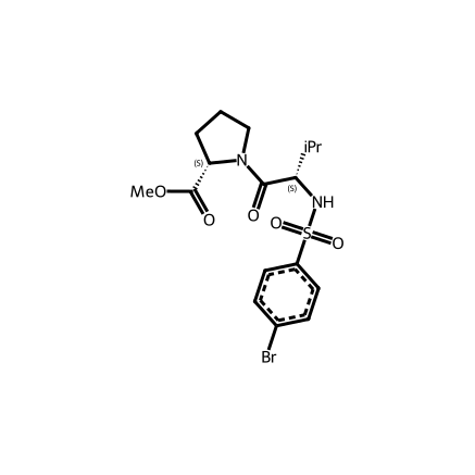 COC(=O)[C@@H]1CCCN1C(=O)[C@@H](NS(=O)(=O)c1ccc(Br)cc1)C(C)C